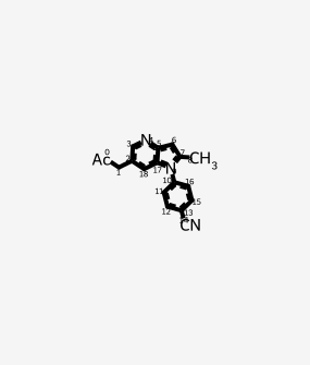 CC(=O)Cc1cnc2cc(C)n(-c3ccc(C#N)cc3)c2c1